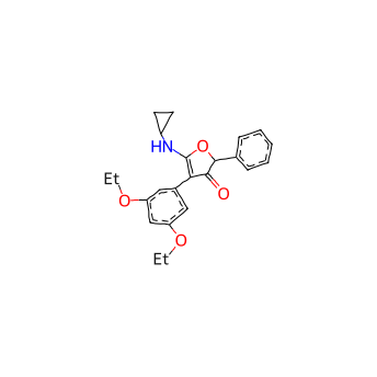 CCOc1cc(OCC)cc(C2=C(NC3CC3)OC(c3ccccc3)C2=O)c1